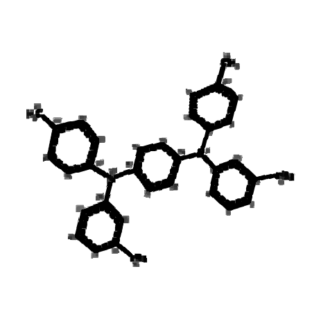 CCCCc1cccc(N(c2ccc(C)cc2)c2ccc(N(c3ccc(C)cc3)c3cccc(CCCC)c3)cc2)c1